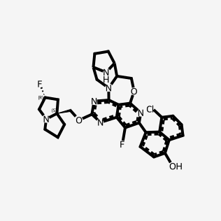 Oc1ccc(-c2nc3c4c(nc(OC[C@@]56CCCN5C[C@H](F)C6)nc4c2F)N2CC4CCC(N4)C2CO3)c2c(Cl)cccc12